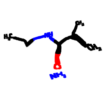 C=C(C)C(=O)NCC.N